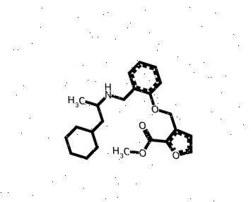 COC(=O)c1occc1COc1ccccc1CNC(C)CC1CCCCC1